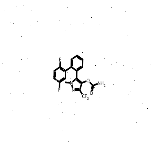 Cn1nc(C(F)(F)F)c(OC(N)=O)c1-c1ccccc1-c1cc(F)ccc1F